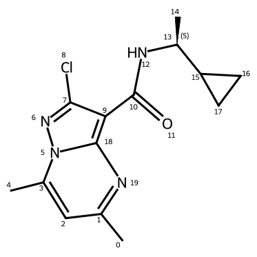 Cc1cc(C)n2nc(Cl)c(C(=O)N[C@@H](C)C3CC3)c2n1